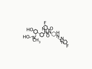 CN(CCO)Cc1cc(O)ccc1-c1cccc(-n2c(=O)n([C@H]3CC[C@@H](NCc4cn5cc(F)ccc5n4)CC3)c(=O)c3cc(F)cnc32)c1